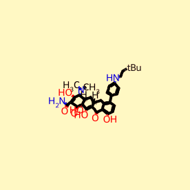 CN(C)C1C(O)=C(C(N)=O)C(=O)[C@@]2(O)C(O)=C3C(=O)c4c(O)ccc(-c5ccc(NCCC(C)(C)C)cc5)c4C[C@H]3C[C@@H]12